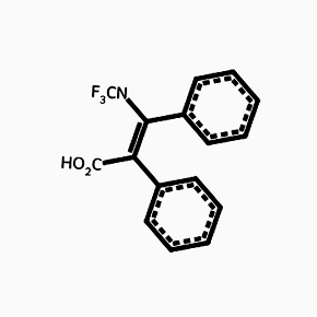 O=C(O)C(=C(NC(F)(F)F)c1ccccc1)c1ccccc1